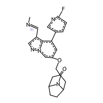 C/N=C/c1cnn2cc(OCCN3C4CCC3CC(=O)C4)cc(-c3ccc(F)nc3)c12